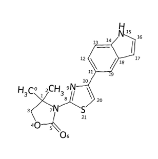 CC1(C)COC(=O)N1c1nc(-c2ccc3[nH]ccc3c2)cs1